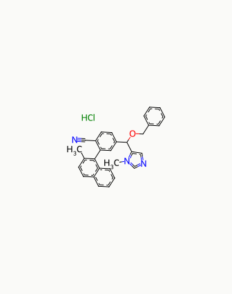 Cc1ccc2ccccc2c1-c1cc(C(OCc2ccccc2)c2cncn2C)ccc1C#N.Cl